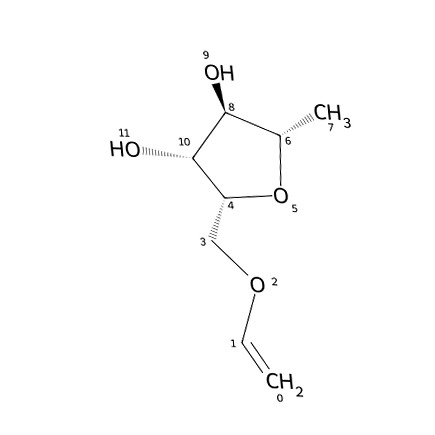 C=COC[C@H]1O[C@@H](C)[C@H](O)[C@H]1O